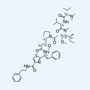 CC[C@H](C)[C@H]([C@@H](CC(=O)N1CCC[C@H]1[C@H](OC)[C@@H](C)C(=O)N[C@@H](Cc1ccccc1)c1nc(C(=O)NCCc2cc[c]cc2)cs1)OC)N(C)C(=O)[C@@H](NC(=O)[C@H](C(C)C)N(C)C)C(C)C